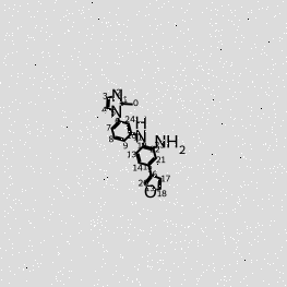 Cc1nccn1-c1cccc(Nc2ccc(-c3ccoc3)cc2N)c1